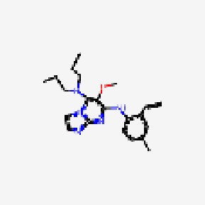 C=Cc1cc(C)ccc1Nc1nc2nccn2c(N(CCC)CCC)c1OC